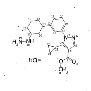 COC(=O)c1cnn(-c2cccc(C3CCCC(NN)C3)c2)c1C1CC1.Cl